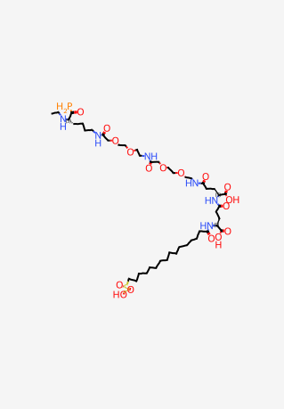 CCN[C@@H](CCCCNC(=O)COCCOCCNC(=O)COCCOCCNC(=O)CC[C@H](NC(=O)CC[C@H](NC(=O)CCCCCCCCCCCCCCCS(=O)(=O)O)C(=O)O)C(=O)O)C(=O)P